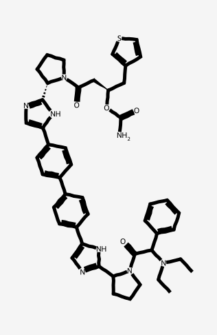 CCN(CC)C(C(=O)N1CCCC1c1ncc(-c2ccc(-c3ccc(-c4cnc([C@@H]5CCCN5C(=O)C[C@@H](Cc5ccsc5)OC(N)=O)[nH]4)cc3)cc2)[nH]1)c1ccccc1